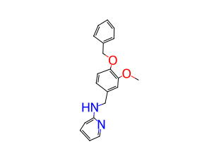 COc1cc(CNc2ccccn2)ccc1OCc1ccccc1